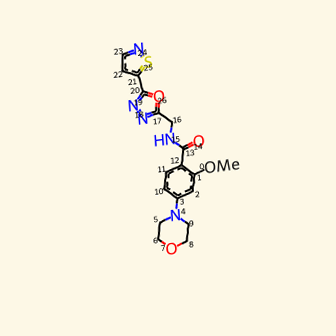 COc1cc(N2CCOCC2)ccc1C(=O)NCc1nnc(-c2ccns2)o1